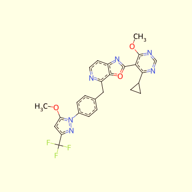 COc1ncnc(C2CC2)c1-c1nc2ccnc(Cc3ccc(-n4nc(C(F)(F)F)cc4OC)cc3)c2o1